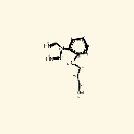 N=CN(N=N)c1ccccc1OCCCO